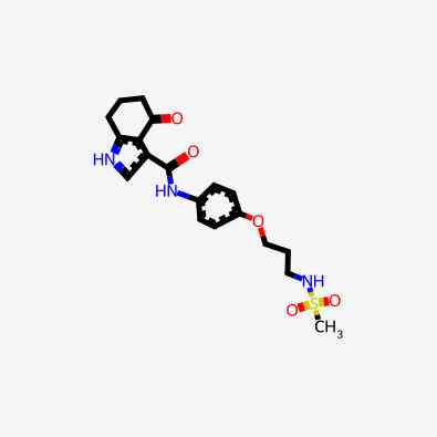 CS(=O)(=O)NCCCOc1ccc(NC(=O)c2c[nH]c3c2C(=O)CCC3)cc1